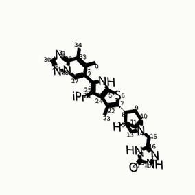 Cc1c(-c2[nH]c3sc([C@@H]4CC5C[C@H]4CN5Cc4n[nH]c(=O)[nH]4)c(C)c3c2C(C)C)cn2ncnc2c1C